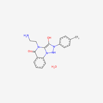 NCCN1C(=O)c2ccccc2N2NN(c3ccc(C(F)(F)F)cc3)C(O)=C12.O